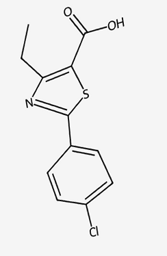 CCc1nc(-c2ccc(Cl)cc2)sc1C(=O)O